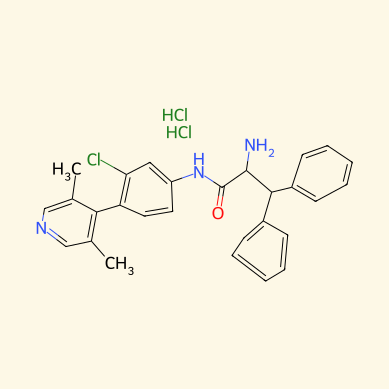 Cc1cncc(C)c1-c1ccc(NC(=O)C(N)C(c2ccccc2)c2ccccc2)cc1Cl.Cl.Cl